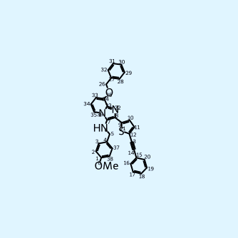 COc1ccc(CNc2c(-c3ccc(C#Cc4ccccc4)s3)nc3c(OCc4ccccc4)cccn23)cc1